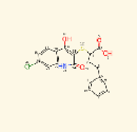 O=C(O)C(CCc1ccccc1)Sc1c(O)c2ccc(Cl)cc2[nH]c1=O